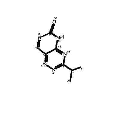 CC(C)c1nnc2cnc(=O)[nH]c2n1